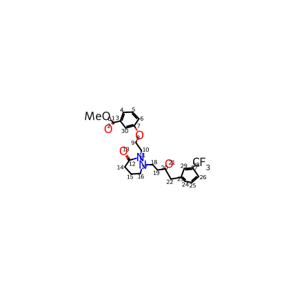 COC(=O)c1cccc(OCCN2C(=O)CCCN2CCC(=O)Cc2cccc(C(F)(F)F)c2)c1